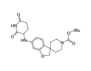 CC(C)(C)OC(=O)N1CCC2(CC1)COc1cc(NC3CCC(=O)NC3=O)ccc12